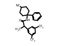 CC(C(=O)NC1(c2ccccc2)CCC(C#N)CC1)c1cc(C(F)(F)F)cc(C(F)(F)F)c1